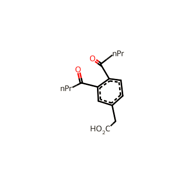 CCCC(=O)c1ccc(CC(=O)O)cc1C(=O)CCC